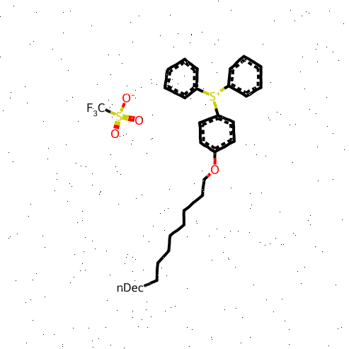 CCCCCCCCCCCCCCCCCCOc1ccc([S+](c2ccccc2)c2ccccc2)cc1.O=S(=O)([O-])C(F)(F)F